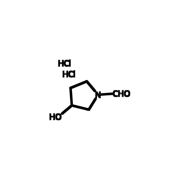 Cl.Cl.O=CN1CCC(O)C1